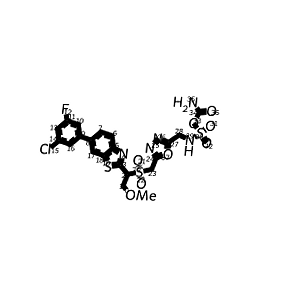 COCC(c1nc2ccc(-c3cc(F)cc(Cl)c3)cc2s1)S(=O)(=O)Cc1nnc(CNS(=O)(=O)OC(N)=O)o1